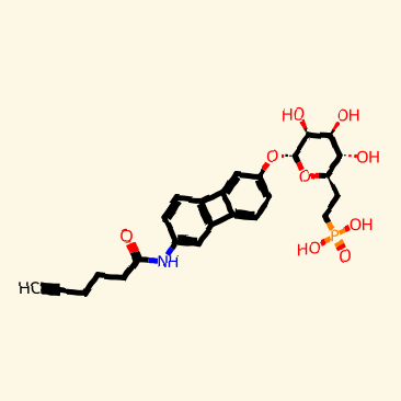 C#CCCCC(=O)Nc1ccc2c(c1)-c1ccc(O[C@H]3O[C@H](CCP(=O)(O)O)[C@@H](O)[C@H](O)[C@@H]3O)cc1-2